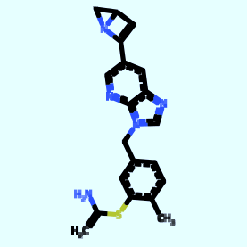 C=C(N)Sc1cc(Cn2cnc3cc(C4=CC5CN45)cnc32)ccc1C